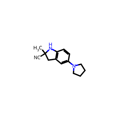 CC1(C#N)Cc2cc(N3CCCC3)ccc2N1